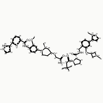 COc1cc(N2CC[C@H](OCC(=O)N[C@H](C(=O)N3CCC[C@H]3C(=O)NCc3ccc(-c4ccnn4C)cc3OC3CN(C)C3)C(C)(C)C)C[C@@H]2C)ccc1NC(=O)c1cccc(-c2ccn[nH]2)n1